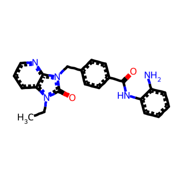 CCn1c(=O)n(Cc2ccc(C(=O)Nc3ccccc3N)cc2)c2ncccc21